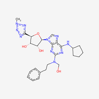 Cn1nnc([C@H]2O[C@@H](n3cnc4c(NC5CCCC5)nc(N(CO)CCc5ccccc5)nc43)[C@H](O)[C@@H]2O)n1